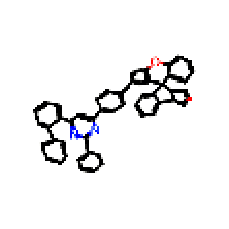 C1=CC2c3ccccc3C3(c4ccccc4Oc4ccc(-c5ccc(-c6cc(-c7ccccc7-c7ccccc7)nc(-c7ccccc7)n6)cc5)cc43)C2C=C1